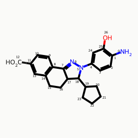 Nc1ccc(N2N=C3c4ccc(C(=O)O)cc4CCC3C2C2CCCC2)cc1O